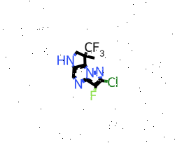 CC1(C(F)(F)F)CNc2cnc3c(F)c(Cl)nn3c21